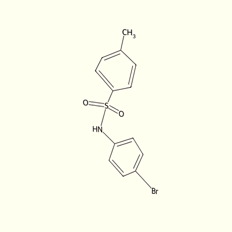 Cc1ccc(S(=O)(=O)Nc2ccc(Br)cc2)cc1